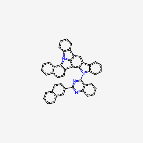 c1ccc2cc(-c3nc(-n4c5ccccc5c5cc6c7ccccc7n7c8c9ccccc9ccc8c(c54)c67)c4ccccc4n3)ccc2c1